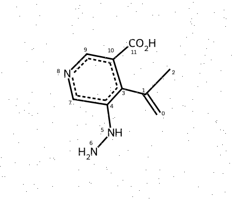 C=C(C)c1c(NN)cncc1C(=O)O